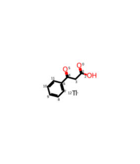 O=C(O)CC(=O)c1ccccc1.[Tl]